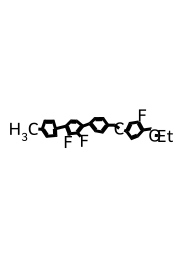 CCOCc1ccc(CCc2ccc(-c3ccc(-c4ccc(C)cc4)c(F)c3F)cc2)cc1F